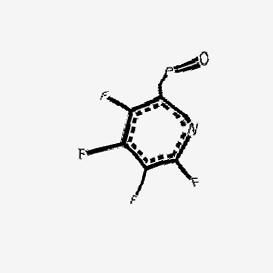 O=Pc1nc(F)c(F)c(F)c1F